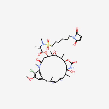 COc1cc2cc(c1Cl)N(C)C(=O)CC(OC(=O)[C@H](C)N(C)S(=O)(=O)CCCCCCN1C(=O)C=CC1=O)C1(C)OC1C(C)C1CC(O)(NC(=O)O1)C(C)/C=C/C=C(\C)C2